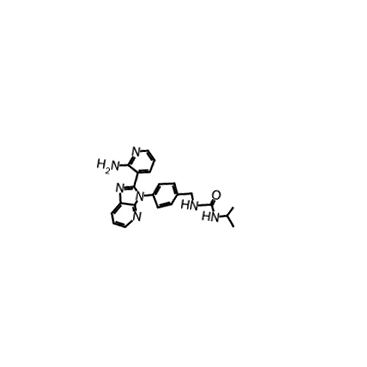 CC(C)NC(=O)NCc1ccc(-n2c(-c3cccnc3N)nc3cccnc32)cc1